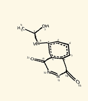 CC(O)Nc1cccc2c1C(=O)N=NC2=O